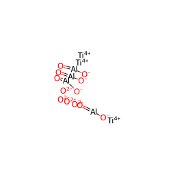 [O-2].[O-2].[O-2].[O-2].[O]=[Al][O-].[O]=[Al][O-].[O]=[Al][O-].[O]=[Al][O-].[Ti+4].[Ti+4].[Ti+4]